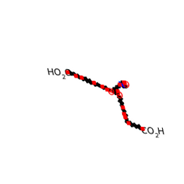 O=C(O)CCCCCCCC=CCC=CCCCCCCCCCOc1cc(CCCN2CCOCC2)cc(OCCCCCCCCCC=CC/C=C\CCCCCCCC(=O)O)c1